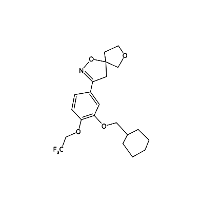 FC(F)(F)COc1ccc(C2=NOC3(CCOC3)C2)cc1OCC1CCCCC1